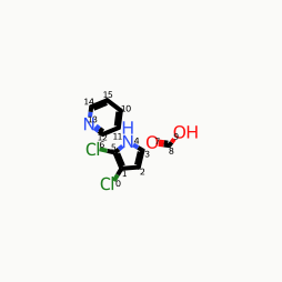 Clc1cc[nH]c1Cl.O=CO.c1ccncc1